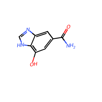 NC(=O)c1cc(O)c2[nH]cnc2c1